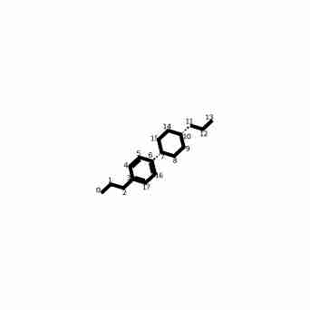 CCCc1ccc([C@H]2CC[C@@H](CCC)CC2)cc1